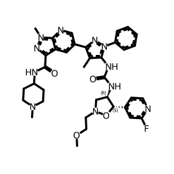 COCCN1C[C@@H](NC(=O)Nc2c(C)c(-c3cnc4c(c3)c(C(=O)NC3CCN(C)CC3)nn4C)nn2-c2ccccc2)[C@H](c2ccnc(F)c2)O1